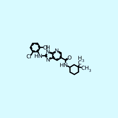 CC1(C)CCCC(NC(=O)c2cnc3[nH]c(Nc4c(Cl)cccc4Cl)nc3c2)C1